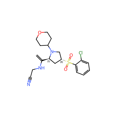 C=C(NCC#N)[C@@H]1C[C@@H](S(=O)(=O)c2ccccc2Cl)CN1C1CCOCC1